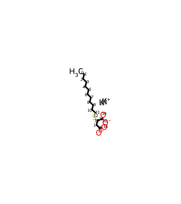 CCCCCCCCCCCCSC(CC(=O)[O-])C(=O)[O-].[K+].[K+]